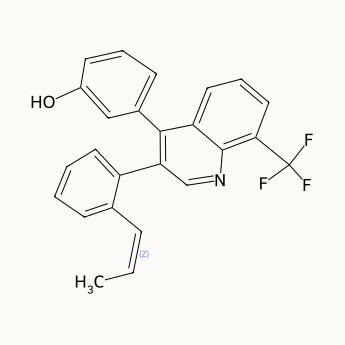 C/C=C\c1ccccc1-c1cnc2c(C(F)(F)F)cccc2c1-c1cccc(O)c1